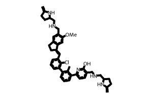 C=C1CCC(CNCc2cc3c(cc2OC)/C(=C/c2cccc(-c4cccc(-c5ccc(CNCC6CCC(=C)N6)c(O)n5)c4C)c2Cl)CC3)N1